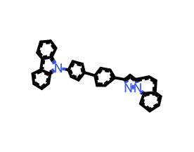 c1ccc2c(c1)ccc1cc(-c3ccc(-c4ccc(-n5c6ccccc6c6ccccc65)cc4)cc3)nn12